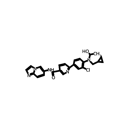 CC(O)N(CC1CC1)c1ccc(-c2ccc(C(=O)Nc3ccc4nccn4c3)cn2)cc1Cl